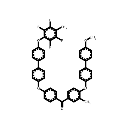 COc1ccc(-c2ccc(Oc3ccc(C(=O)c4ccc(Oc5ccc(-c6ccc(Oc7c(F)c(F)c(C)c(F)c7F)cc6)cc5)cc4)cc3C)cc2)cc1